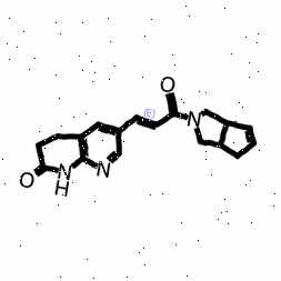 O=C1CCc2cc(/C=C/C(=O)N3CC4C=CCC4C3)cnc2N1